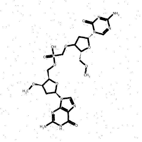 COC[C@H]1O[C@@H](n2cnc(N)nc2=O)CC1OCP(=O)(O)OC[C@H]1O[C@@H](n2cnc3c(=O)[nH]c(N)nc32)C[C@H]1OC